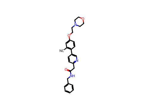 N#Cc1cc(OCCN2CCOCC2)ccc1-c1ccc(CC(=O)NCc2ccccc2)nc1